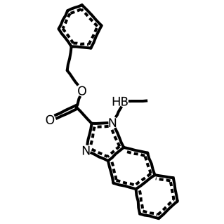 CBn1c(C(=O)OCc2ccccc2)nc2cc3ccccc3cc21